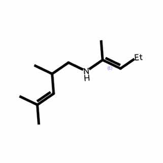 CC/C=C(\C)NCC(C)C=C(C)C